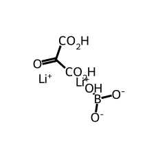 O=C(O)C(=O)C(=O)O.[Li+].[Li+].[O-]B([O-])O